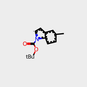 Cc1ccc2c(c[c]n2C(=O)OC(C)(C)C)c1